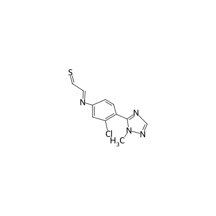 Cn1ncnc1-c1ccc(N=CC=S)cc1Cl